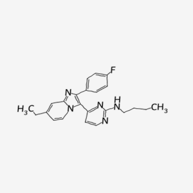 CCCCNc1nccc(-c2c(-c3ccc(F)cc3)nc3cc(CC)ccn23)n1